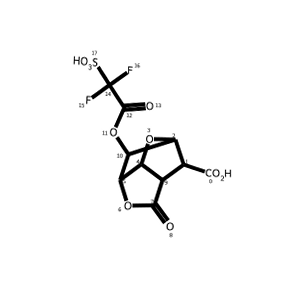 O=C(O)C1C2OC3C(OC(=O)C31)C2OC(=O)C(F)(F)S(=O)(=O)O